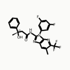 Cc1cc2nc(NC(=O)C[C@](C)(O)c3ccccc3)n(-c3cc(F)cc(F)c3)c2nc1C(F)(F)F